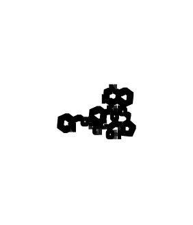 C[C@@H](O)C(=O)N1CCC[C@@H]1COc1cccc2ncnc(Nc3ccc(OCc4ccccn4)c(Cl)c3)c12